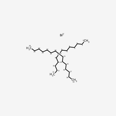 CCCCCCC[N+](CCCCC)(CCCCCCC)CCCCCCC.[Br-]